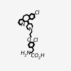 N[C@@H](Cc1ccc(OCCCN2CCC(=C3c4ccc(Cl)cc4CCc4cccnc43)CC2)c(Cl)c1)C(=O)O